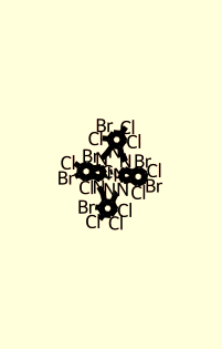 Clc1c(Cl)c(Br)c2c(c1Cl)C1=Nc3c4c(Cl)c(Br)c(Cl)c(Br)c4c4[n]3[Cu][n]3c(c5c(Cl)c(Br)c(Cl)c(Br)c5c3=NC3=NC(=N4)c4c(Cl)c(Cl)c(Br)c(Cl)c43)=NC2=N1